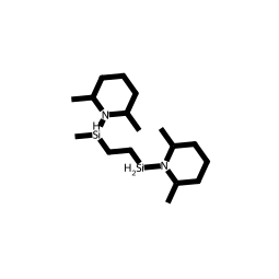 CC1CCCC(C)N1[SiH2]CC[SiH](C)N1C(C)CCCC1C